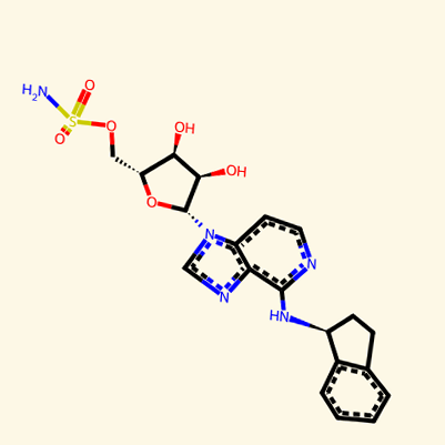 NS(=O)(=O)OC[C@H]1O[C@@H](n2cnc3c(N[C@H]4CCc5ccccc54)nccc32)[C@H](O)[C@@H]1O